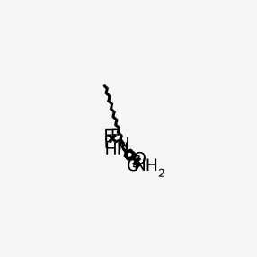 CCCCCCCCCCCCCCC(CC(F)(F)F)=NNc1ccc(S(N)(=O)=O)cc1